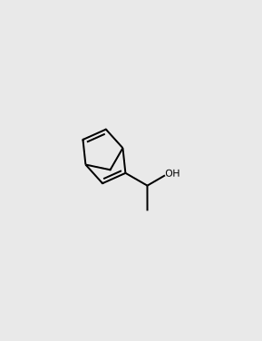 CC(O)C1=CC2C=CC1C2